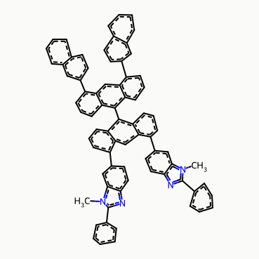 Cn1c(-c2ccccc2)nc2ccc(-c3cccc4c(-c5c6cccc(-c7ccc8ccccc8c7)c6cc6c(-c7ccc8ccccc8c7)cccc56)c5cccc(-c6ccc7nc(-c8ccccc8)n(C)c7c6)c5cc34)cc21